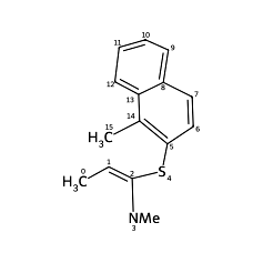 CC=C(NC)Sc1ccc2ccccc2c1C